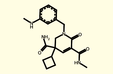 CNC(=O)C1=CC(C(N)=O)(C2CCC2)CN(Cc2cccc(NC)c2)C1=O